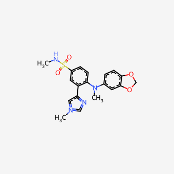 CNS(=O)(=O)c1ccc(N(C)c2ccc3c(c2)OCO3)c(-c2cn(C)cn2)c1